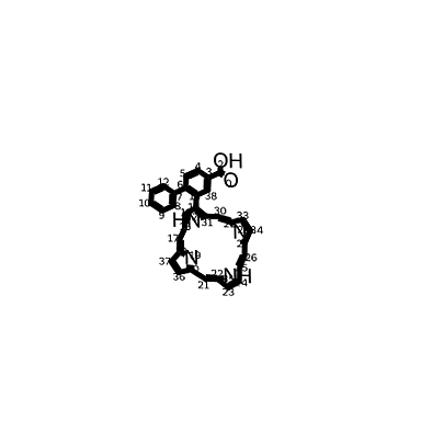 O=C(O)c1ccc(-c2ccccc2)c(-c2cc3cc4nc(cc5ccc(cc6nc(cc2[nH]3)C=C6)[nH]5)C=C4)c1